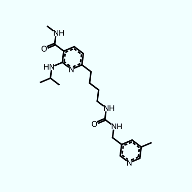 CNC(=O)c1ccc(CCCCNC(=O)NCc2cncc(C)c2)nc1NC(C)C